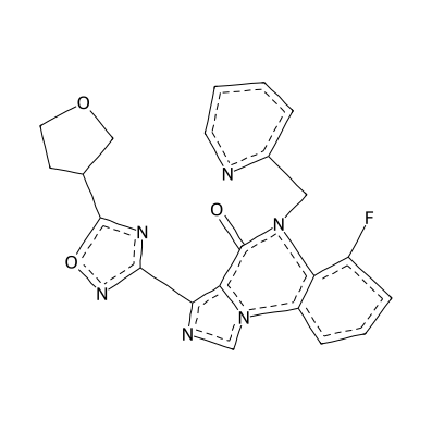 O=c1c2c(-c3noc(C4CCOC4)n3)ncn2c2cccc(F)c2n1Cc1ccccn1